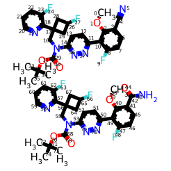 COc1c(C#N)ccc(F)c1-c1ccc(N(CC2(c3ncccc3F)CC(F)C2)C(=O)OC(C)(C)C)nn1.COc1c(C(N)=O)ccc(F)c1-c1ccc(N(CC2(c3ncccc3F)CC(F)C2)C(=O)OC(C)(C)C)nn1